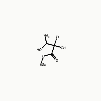 CCCCOC(=O)C(O)(CC)C(N)O